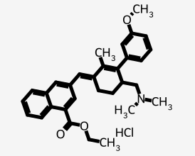 CCOC(=O)c1cc(C=C2CCC(CN(C)C)C(c3cccc(OC)c3)=C2C)cc2ccccc12.Cl